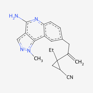 C=C(Cc1ccc2nc(N)c3cnn(C)c3c2c1)C1(CC)CC1C#N